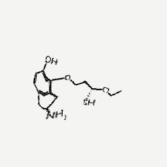 CCO[C@H](S)CCOc1c(O)ccc2c1CC(N)C2